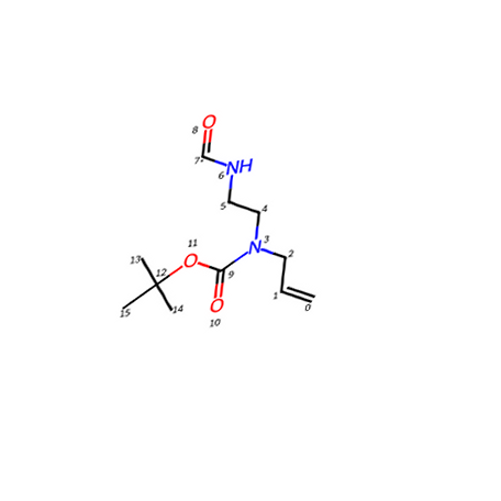 C=CCN(CCN[C]=O)C(=O)OC(C)(C)C